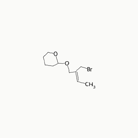 CC=C(CBr)COC1CCCCO1